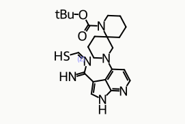 CC(C)(C)OC(=O)N1CCCCC12CCCN(c1ccnc3[nH]cc(C(=N)/N=C\S)c13)C2